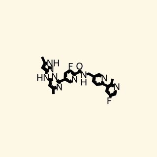 Cc1cc(Nc2cc(C)[nH]n2)nc(-c2cnc(C(=O)NCc3ccc(-c4cc(F)cnc4C)nc3)c(F)c2)n1